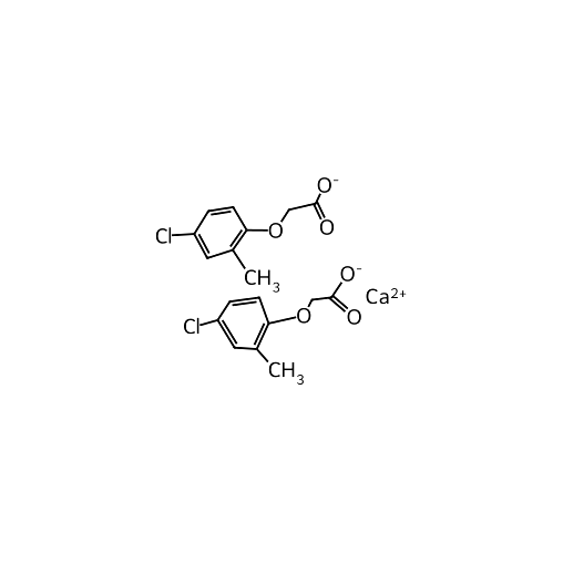 Cc1cc(Cl)ccc1OCC(=O)[O-].Cc1cc(Cl)ccc1OCC(=O)[O-].[Ca+2]